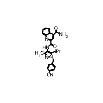 Cc1nn(Cc2ccc(C#N)cc2)c(C(C)C)c1NC(=O)c1cc(C(N)=O)c2ccccc2n1